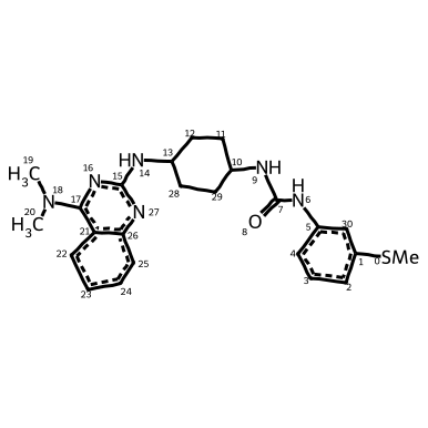 CSc1cccc(NC(=O)NC2CCC(Nc3nc(N(C)C)c4ccccc4n3)CC2)c1